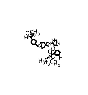 CCN(C(=O)c1cc(F)ccc1Oc1cncnc1N1CC2(CCN(CC3CCC(NS(C)(=O)=O)CC3)CC2)C1)C(C)C